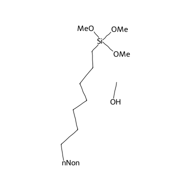 CCCCCCCCCCCCCCCC[Si](OC)(OC)OC.CO